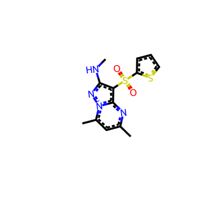 CNc1nn2c(C)cc(C)nc2c1S(=O)(=O)c1cccs1